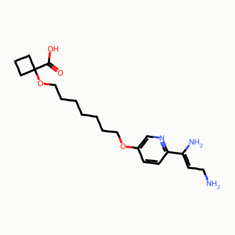 NC/C=C(\N)c1ccc(OCCCCCCCOC2(C(=O)O)CCC2)cn1